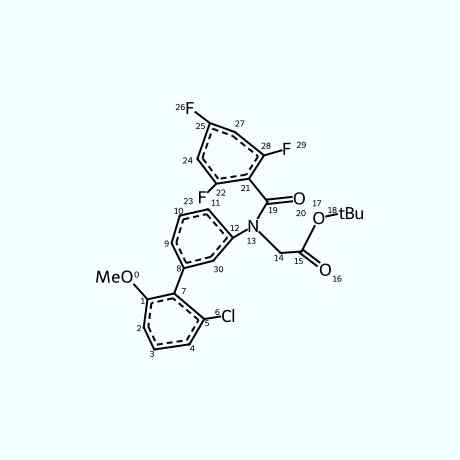 COc1cccc(Cl)c1-c1cccc(N(CC(=O)OC(C)(C)C)C(=O)c2c(F)cc(F)cc2F)c1